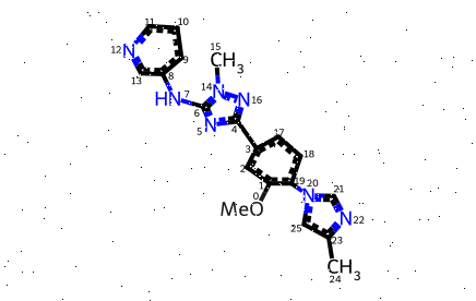 COc1cc(-c2nc(Nc3cccnc3)n(C)n2)ccc1-n1cnc(C)c1